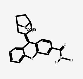 CCOC(=O)N1C2CCC1CC(=C1c3ccccc3Sc3cc(C(=O)N(CC)CC)ccc31)C2